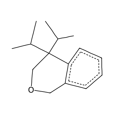 CC(C)C1(C(C)C)COCc2ccccc21